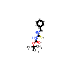 CC(C)(C)OC(=O)NC(=S)NCc1ccccc1